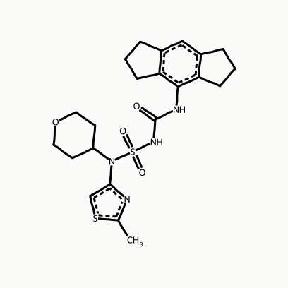 Cc1nc(N(C2CCOCC2)S(=O)(=O)NC(=O)Nc2c3c(cc4c2CCC4)CCC3)cs1